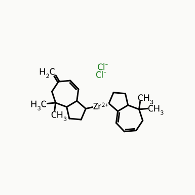 C=C1C=CC2[CH]([Zr+2][CH]3CCC4C3=CC=CCC4(C)C)CCC2C(C)(C)C1.[Cl-].[Cl-]